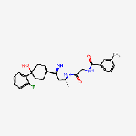 C[C@H](CC(=N)C1CCC(O)(c2ccccc2F)CC1)NC(=O)CNC(=O)c1cccc(C(F)(F)F)c1